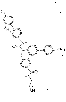 Cc1cc(Cl)ccc1-c1ccc(NC(=O)C(Cc2ccc(C(=O)NCCS)cc2)c2ccc(-c3ccc(C(C)(C)C)cc3)cc2)cc1